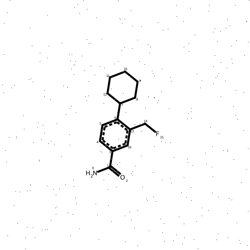 NC(=O)c1ccc(C2CCCCC2)c(CF)c1